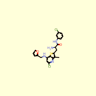 Cc1c(CC(N)C(=O)Nc2cccc(Cl)c2)sc2c(NCc3ccco3)cc(Cl)nc12